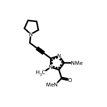 CNC(=O)c1c(NC)nc(C#CCN2CCCC2)n1C